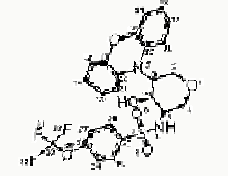 O=S(=O)(NC1COCC(N2c3ccccc3Oc3ccccc32)[C@@H]1O)c1ccc(OC(F)(F)F)cc1